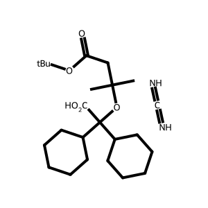 CC(C)(C)OC(=O)CC(C)(C)OC(C(=O)O)(C1CCCCC1)C1CCCCC1.N=C=N